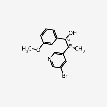 COc1cccc([C@@H](O)[C@H](C)c2cncc(Br)c2)c1